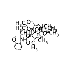 CC1=C[C@]23C(=O)[C@@H](C=C4COC(C)(C)O[C@H]4[C@]2(O)[C@H]1OC(=O)N1c2ccccc2OCC1C)C(C)(C)[C@@H](C)C[C@H]3C